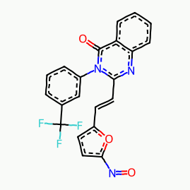 O=Nc1ccc(/C=C/c2nc3ccccc3c(=O)n2-c2cccc(C(F)(F)F)c2)o1